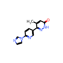 Cc1cc(=O)[nH]nc1-c1ccc(-n2ccnc2)nc1